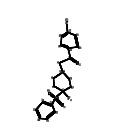 O=C(CN1CCC(F)(S(=O)(=O)c2ccccc2)CC1)c1ccc(F)cc1